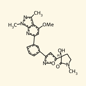 COc1cc(-c2cccc(-c3cc([C@]4(O)CCN(C)C4=O)on3)c2)nc2c1c(C)nn2C